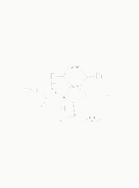 COC(=O)C(OCC(F)(F)F)C(C)(N[S@+]([O-])C(C)(C)C)c1cc(Br)ccc1F